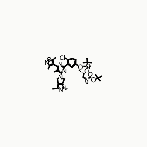 Cc1nn(C)c2c1CN(c1nc(-c3cc(OC[C@@H](CN(C)C(=O)OC(C)(C)C)O[Si](C)(C)C(C)(C)C)ccc3Cl)nc(-c3c(C)noc3C)c1C)C2